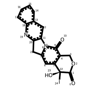 O=C1OCc2c(cc3n(c2=O)-c2cc4ccccc4nc2C3)[C@@]1(O)I